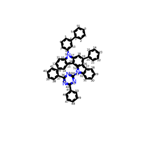 c1ccc(-c2cccc(-n3c4ccccc4c4c3cc(-c3ccccc3)c3c5ccccc5n(-c5nc(-c6ccccc6)nc(-c6ccccc6)n5)c34)c2)cc1